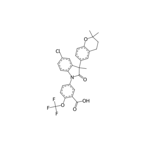 CC1(C)CCc2cc(C3(C)C(=O)N(c4ccc(OC(F)(F)F)c(C(=O)O)c4)c4ccc(Cl)cc43)ccc2O1